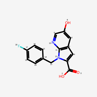 O=C(O)c1cc2cc(O)cnc2n1Cc1ccc(F)cc1